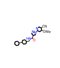 COc1cc(-n2cc(C(=O)NCc3ccc(-c4ccccc4)cc3)cn2)ncc1C#N